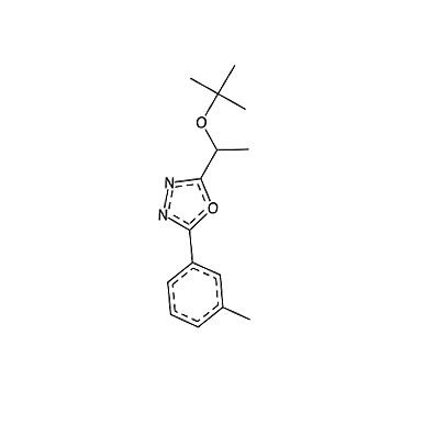 Cc1cccc(-c2nnc(C(C)OC(C)(C)C)o2)c1